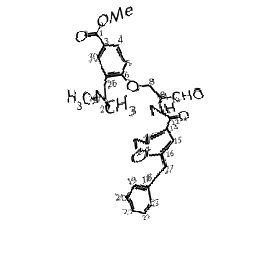 COC(=O)c1ccc(OC[C@@H](C=O)NC(=O)c2cc(Cc3ccccc3)on2)c(N(C)C)c1